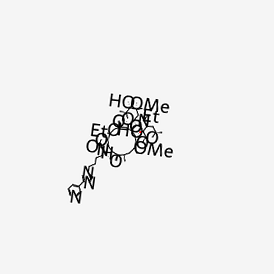 CC[C@H]1OC(=O)[C@H](C)[C@@H](O[C@H]2C[C@@](C)(OC)[C@@H](O)[C@H](C)O2)[C@H](C)[C@@H](O[C@@H]2O[C@H](C)C[C@H](N(C)CC)[C@H]2O)[C@](C)(OC)C[C@@H](C)C(=O)[C@H](C)[C@H]2N(CCCCn3cnc(-c4cccnc4)c3)C(=O)O[C@]12C